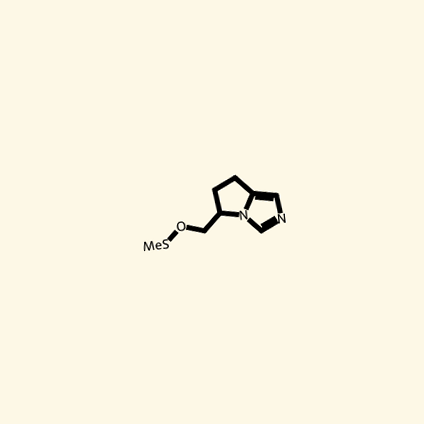 CSOCC1CCc2cncn21